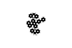 CC1(C)c2ccccc2N(c2ccc3c(-c4cccc5ccccc45)c4cc(N5c6ccccc6C(C)(C)c6ccccc65)ccc4c(-c4ccc(-c5ccccc5)cc4)c3c2)c2ccccc21